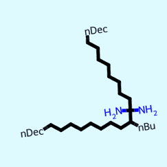 CCCCCCCCCCCCCCCCCCC(CCCC)C(N)(N)CCCCCCCCCCCCCCCCCC